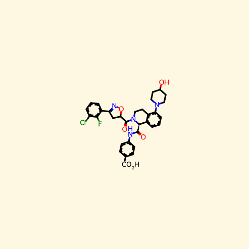 O=C(O)c1ccc(NC(=O)[C@@H]2c3cccc(N4CCC(O)CC4)c3CCN2C(=O)C2CC(c3cccc(Cl)c3F)=NO2)cc1